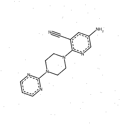 N#Cc1cc(N)cnc1N1CCN(c2ncccn2)CC1